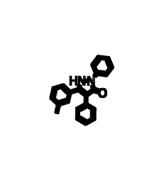 Cc1cccc(-c2[nH]n(-c3ccccc3)c(=O)c2-c2ccccc2)c1